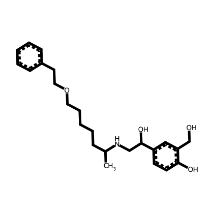 CC(CCCCCOCCc1ccccc1)NCC(O)c1ccc(O)c(CO)c1